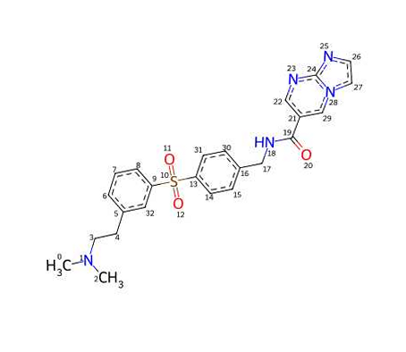 CN(C)CCc1cccc(S(=O)(=O)c2ccc(CNC(=O)c3cnc4nccn4c3)cc2)c1